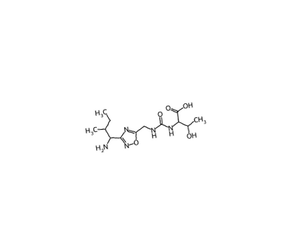 CCC(C)C(N)c1noc(CNC(=O)NC(C(=O)O)C(C)O)n1